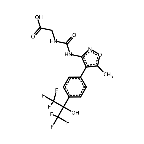 Cc1onc(NC(=O)NCC(=O)O)c1-c1ccc(C(O)(C(F)(F)F)C(F)(F)F)cc1